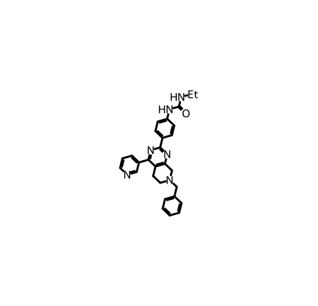 CCNC(=O)Nc1ccc(-c2nc3c(c(-c4cccnc4)n2)CCN(Cc2ccccc2)C3)cc1